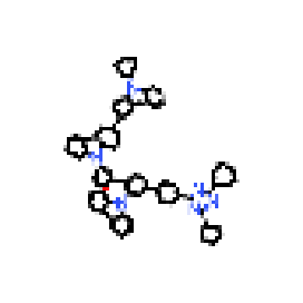 c1ccc(-c2nc(-c3ccccc3)nc(-c3ccc(-c4ccc(-c5cccc(-n6c7ccccc7c7cc(-c8ccc9c(c8)c8ccccc8n9-c8ccccc8)ccc76)c5)c(-n5c6ccccc6c6ccccc65)c4)cc3)n2)cc1